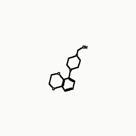 OCN1CCN(c2cccc3c2OCCO3)CC1